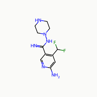 N=C(NN1CCNCC1)c1cnc(N)cc1C(F)F